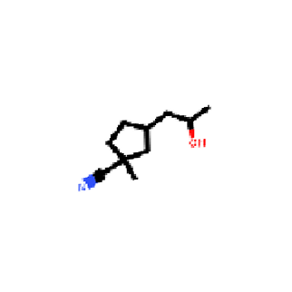 CC(O)CC1CCC(C)(C#N)C1